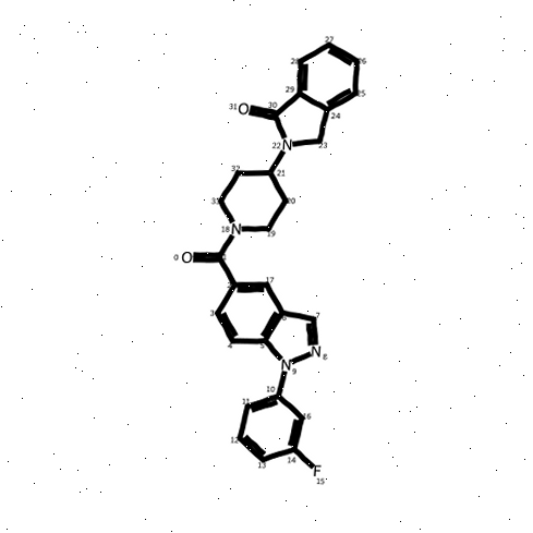 O=C(c1ccc2c(cnn2-c2cccc(F)c2)c1)N1CCC(N2Cc3ccccc3C2=O)CC1